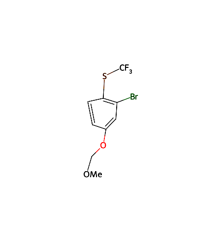 COCOc1ccc(SC(F)(F)F)c(Br)c1